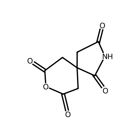 O=C1CC2(CC(=O)OC(=O)C2)C(=O)N1